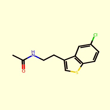 CC(=O)NCCc1csc2ccc(Cl)cc12